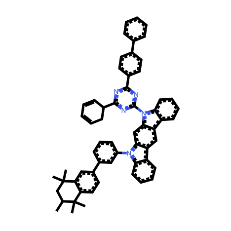 CC1CC(C)(C)c2cc(-c3cccc(-n4c5ccccc5c5cc6c7ccccc7n(-c7nc(-c8ccc(-c9ccccc9)cc8)nc(C8C=CC=CC8)n7)c6cc54)c3)ccc2C1(C)C